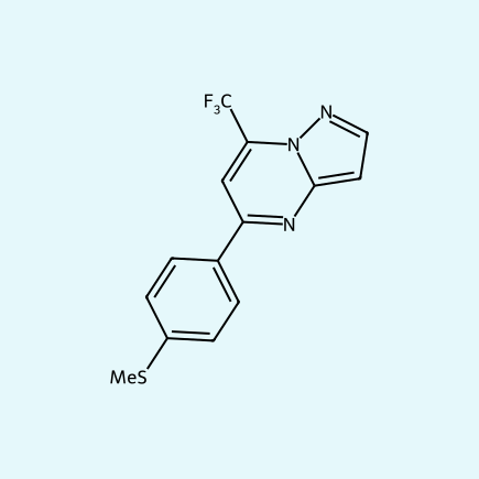 CSc1ccc(-c2cc(C(F)(F)F)n3nccc3n2)cc1